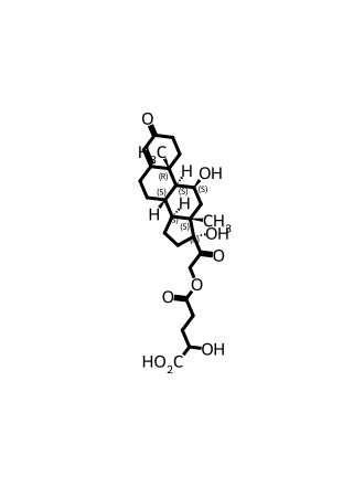 C[C@]12CCC(=O)C=C1CC[C@@H]1[C@@H]2[C@@H](O)C[C@@]2(C)[C@H]1CC[C@]2(O)C(=O)COC(=O)CCC(O)C(=O)O